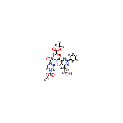 CCOC(=O)N1CCN(C(=O)[C@H](CCC(=O)OC(C)(C)C)NC(=O)c2cc(C(C)(C)CO)nc(-c3ccccc3)n2)CC1